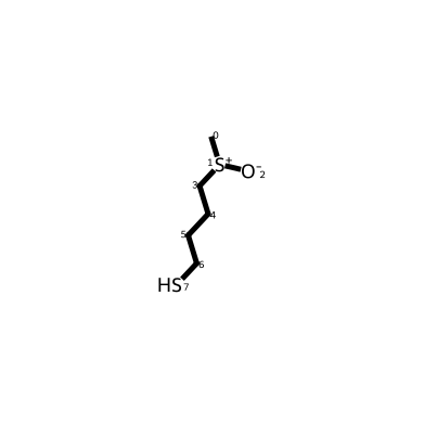 C[S+]([O-])CCCCS